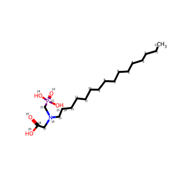 CCCCCCCCCCCCCCCCN(CC(=O)O)CP(=O)(O)O